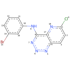 Clc1ccc2nnnc(Nc3cccc(Br)c3)c2n1